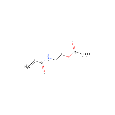 C=CC(=O)NCCOC(=O)C(=O)OCC